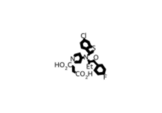 CCC(C(=O)c1ccc(F)cc1)N(c1ccncc1)c1csc2cc(Cl)ccc12.O=C(O)/C=C/C(=O)O